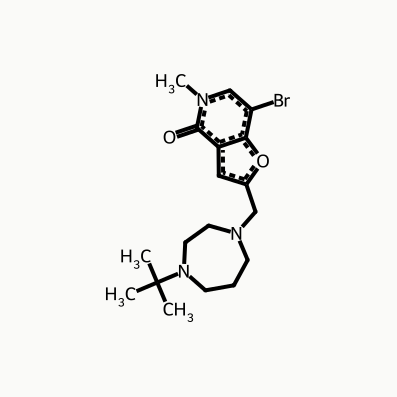 Cn1cc(Br)c2oc(CN3CCCN(C(C)(C)C)CC3)cc2c1=O